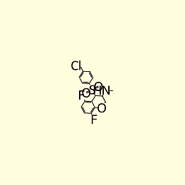 CN[C@H]1COc2c(F)ccc(F)c2[C@@H]1S(=O)(=O)c1ccc(Cl)cc1